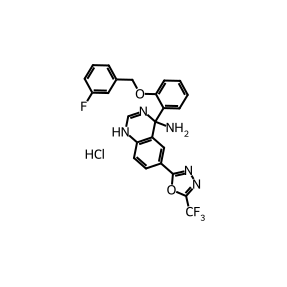 Cl.NC1(c2ccccc2OCc2cccc(F)c2)N=CNc2ccc(-c3nnc(C(F)(F)F)o3)cc21